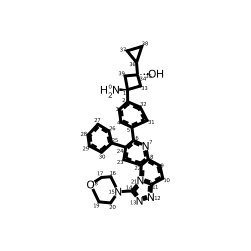 N[C@]1(c2ccc(-c3nc4ccc5nnc(N6CCOCC6)n5c4cc3-c3ccccc3)cc2)C[C@](O)(C2CC2)C1